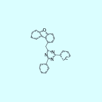 c1ccc(-c2nc(Cc3cccc4oc5ccccc5c34)nc(-c3ccccc3)n2)cc1